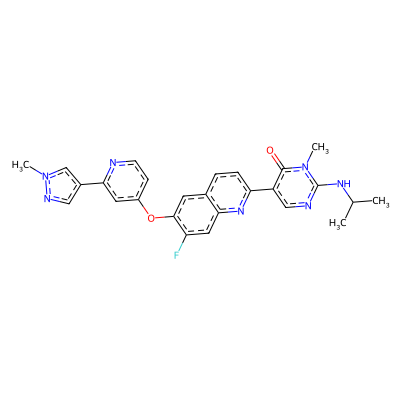 CC(C)Nc1ncc(-c2ccc3cc(Oc4ccnc(-c5cnn(C)c5)c4)c(F)cc3n2)c(=O)n1C